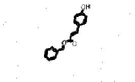 O=C(C=Cc1ccc(O)cc1)OCc1ccccc1